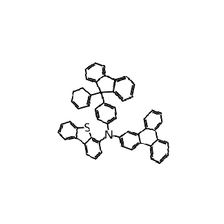 C1=CCCC(C2(c3ccc(N(c4ccc5c6ccccc6c6ccccc6c5c4)c4cccc5c4sc4ccccc45)cc3)c3ccccc3-c3ccccc32)=C1